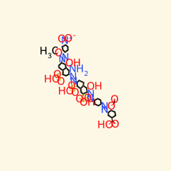 COc1cc([N+](=O)[O-])ccc1N=Nc1ccc2c(S(=O)(=O)O)cc(N=Nc3ccc4c(O)c(N=Nc5ccc(N=Nc6cc(C(=O)O)ccc6OC=O)cc5)c(S(=O)(=O)O)cc4c3S(=O)(=O)O)c(N)c2c1O